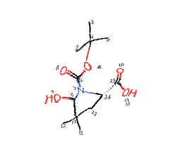 CC(C)(C)OC(=O)N1C(O)C(C)(C)C[C@H]1C(=O)O